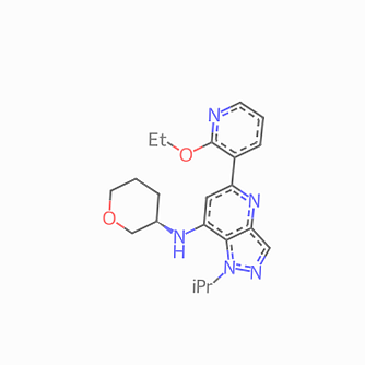 CCOc1ncccc1-c1cc(N[C@@H]2CCCOC2)c2c(cnn2C(C)C)n1